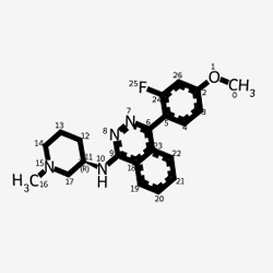 COc1ccc(-c2nnc(N[C@@H]3CCCN(C)C3)c3ccccc23)c(F)c1